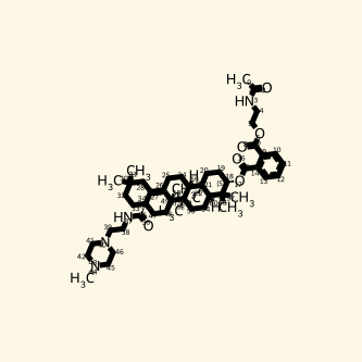 CC(=O)NCCOC(=O)c1ccccc1C(=O)O[C@H]1CC[C@]2(C)[C@H]3CCC4=C5CC(C)(C)CC[C@]5(C(=O)NCCN5CCN(C)CC5)CC[C@@]4(C)[C@]3(C)CC[C@H]2C1(C)C